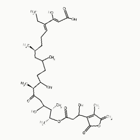 C=C1OC(=O)C(C(O)CC(=O)O[C@H](C)[C@@H](C)C(O)CC(=O)[C@@H](C)C(O)CCC(C)C[C@@H](C)CC/C=C(\CC)C(O)=CC(=O)O)=C1C